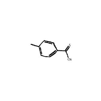 Cc1ccc(C(=S)C#N)cc1